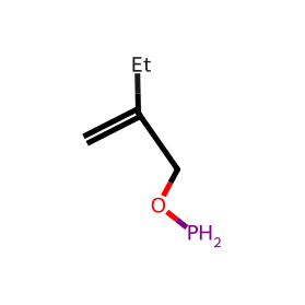 C=C(CC)COP